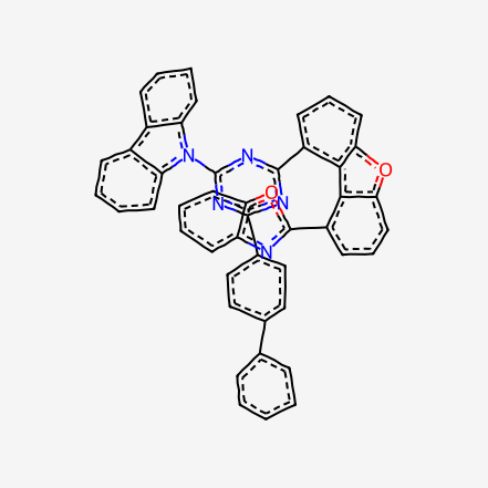 c1ccc(-c2ccc(-c3nc(-c4cccc5oc6cccc(-c7nc8ccccc8o7)c6c45)nc(-n4c5ccccc5c5ccccc54)n3)cc2)cc1